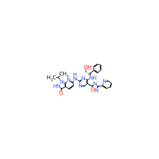 CC(C)n1[nH]c(=O)c2ccc(Nc3ncc(-c4nc(-c5ccccn5)no4)c(N[C@H](CO)c4ccccc4)n3)nc21